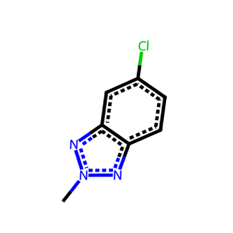 Cn1nc2ccc(Cl)cc2n1